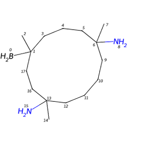 BC1(C)CCCC(C)(N)CCCCC(C)(N)CC1